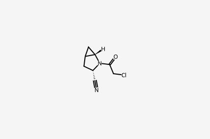 N#C[C@@H]1CC2C[C@@H]2N1C(=O)CCl